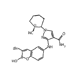 CC(C)(C)C1=Cc2cc(Nc3nn(C4CCCC[C@@H]4C#N)cc3C(N)=O)ccc2OB1O